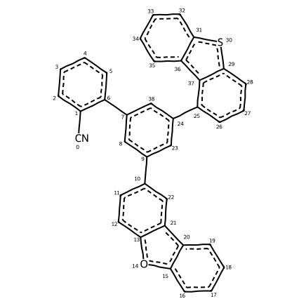 N#Cc1ccccc1-c1cc(-c2ccc3oc4ccccc4c3c2)cc(-c2cccc3sc4ccccc4c23)c1